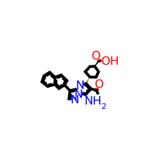 CC(=O)c1c(N)n2ncc(-c3ccc4ccccc4c3)c2nc1[C@H]1CC[C@H](C(=O)O)CC1